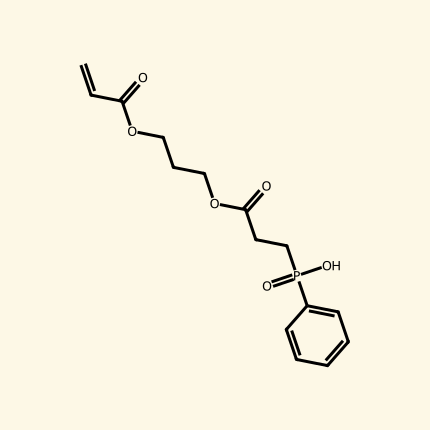 C=CC(=O)OCCCOC(=O)CCP(=O)(O)c1ccccc1